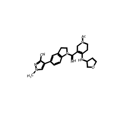 CC(=O)N1CCC(NC2CCOC2)=C(C(=N)N2CCc3cc(-c4cn(C)nc4C#N)ccc32)C1